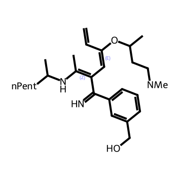 C=C/C(=C\C(C(=N)c1cccc(CO)c1)=C(/C)NC(C)CCCCC)OC(C)CCNC